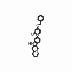 O=c1cc(OCc2ccccc2)ccn1-c1ccc2c3c([nH]c2c1)CC1CCCCN1C3